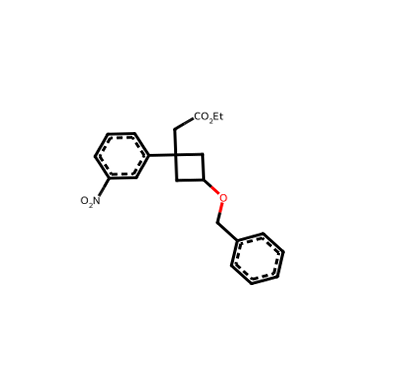 CCOC(=O)CC1(c2cccc([N+](=O)[O-])c2)CC(OCc2ccccc2)C1